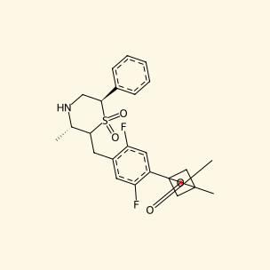 C[C@@H]1NC[C@@H](c2ccccc2)S(=O)(=O)C1Cc1cc(F)c(C23CC(C)(C2)OC3=O)cc1F